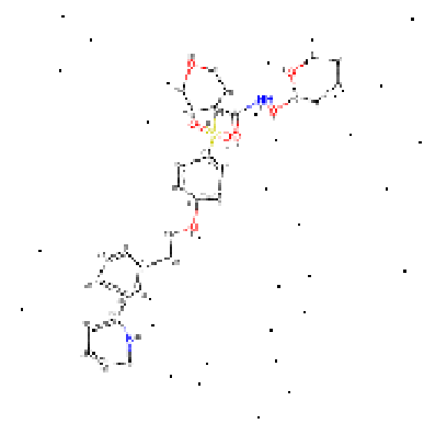 O=C(NOC1CCCCO1)C1(S(=O)(=O)c2ccc(OCCc3cccc(-c4ccccn4)c3)cc2)CCOCC1